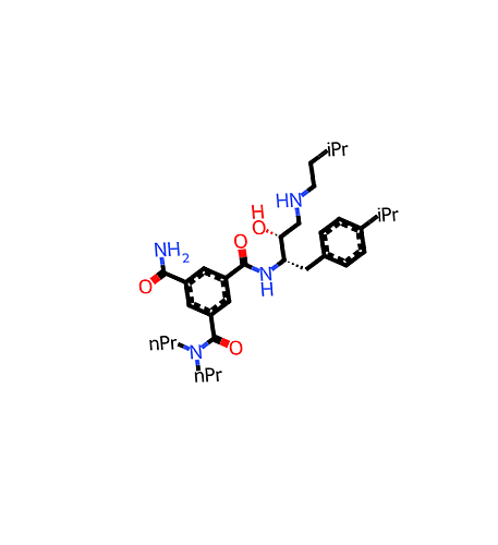 CCCN(CCC)C(=O)c1cc(C(N)=O)cc(C(=O)N[C@@H](Cc2ccc(C(C)C)cc2)[C@H](O)CNCCC(C)C)c1